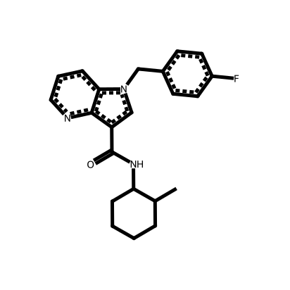 CC1CCCCC1NC(=O)c1cn(Cc2ccc(F)cc2)c2cccnc12